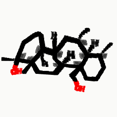 C[C@@H]1CCC[C@@]2(CO)[C@H]1[C@@H](C)C[C@@H]1[C@@H]2CC[C@@]2(C)[C@H]1CC[C@]2(C)O